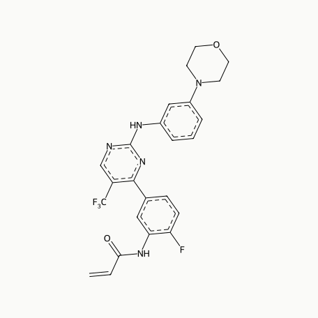 C=CC(=O)Nc1cc(-c2nc(Nc3cccc(N4CCOCC4)c3)ncc2C(F)(F)F)ccc1F